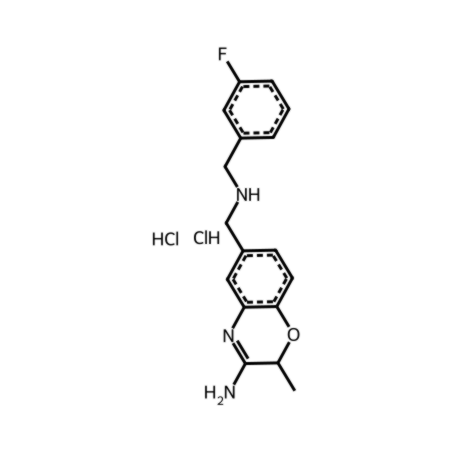 CC1Oc2ccc(CNCc3cccc(F)c3)cc2N=C1N.Cl.Cl